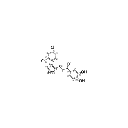 O=C(CSc1nnnn1-c1ccc(Cl)cc1Cl)c1ccc(O)c(O)c1